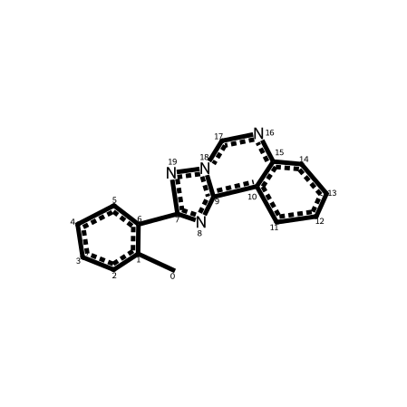 Cc1ccccc1-c1nc2c3ccccc3ncn2n1